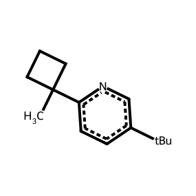 CC(C)(C)c1ccc(C2(C)CCC2)nc1